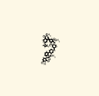 COc1cc(-c2cn(C)c(=O)c3cnc(N4CCC4)cc23)cc(OC)c1CN1CCC(CN2CCC(c3cccc4c3n(C)c(=O)n4C3CCC(=O)NC3=O)CC2)CC1